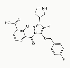 O=C(O)c1cccc(C(=O)n2nc(C3CCNC3)c(F)c2SCc2ccc(F)cc2)c1Cl